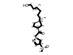 C[C@@H](CCO)CC[C@H](C)[C@@H]1CC[C@H](C(=O)Cn2cc([S+](C)[O-])cn2)C1